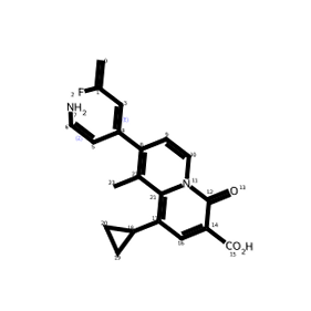 C=C(F)/C=C(\C=C/N)c1ccn2c(=O)c(C(=O)O)cc(C3CC3)c2c1C